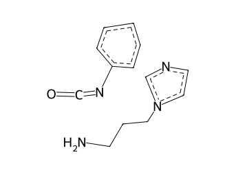 NCCCn1ccnc1.O=C=Nc1ccccc1